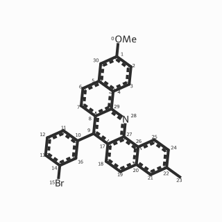 COc1ccc2c(ccc3c(-c4cccc(Br)c4)c4ccc5cc(C)ccc5c4nc32)c1